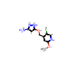 COc1cc(COc2cc(N)n[nH]2)c(F)cn1